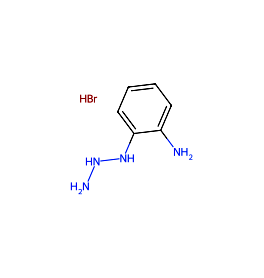 Br.NNNc1ccccc1N